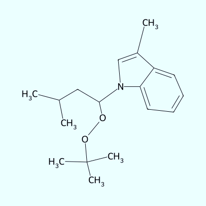 Cc1cn(C(CC(C)C)OOC(C)(C)C)c2ccccc12